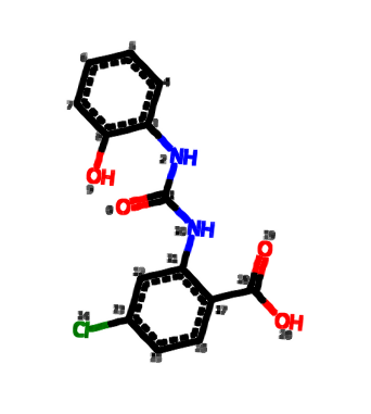 O=C(Nc1ccccc1O)Nc1cc(Cl)ccc1C(=O)O